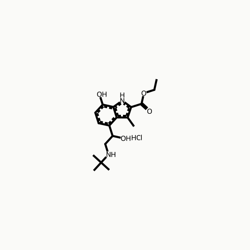 CCOC(=O)c1[nH]c2c(O)ccc(C(O)CNC(C)(C)C)c2c1C.Cl